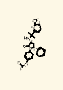 CC(C)(N[C@@H]1C[C@H](c2ccccc2)N(c2ccc(OC(F)F)cc2)C1=O)c1cccc(C(F)(F)F)n1